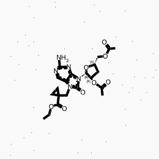 CCOC(=O)C1(Cn2c(=O)n([C@@H]3O[C@H](COC(C)=O)C[C@H]3OC(C)=O)c3nc(N)ncc32)CC1